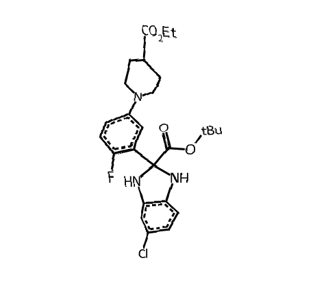 CCOC(=O)C1CCN(c2ccc(F)c(C3(C(=O)OC(C)(C)C)Nc4ccc(Cl)cc4N3)c2)CC1